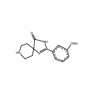 COc1cccc(C2=NC3(CCNCC3)C(=O)N2)c1